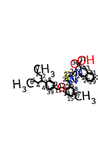 CCCC(CCC)c1ccc(COc2ccc(C)cc2-c2csc(CN3Cc4ccccc4CC3C(=O)O)n2)cc1